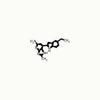 CCc1ccc2[nH]c(-c3cc(N)nc4nc(C)[nH]c34)cc2c1